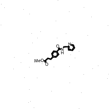 COC(=O)CCc1ccc(C(=O)NCc2ccccn2)cc1